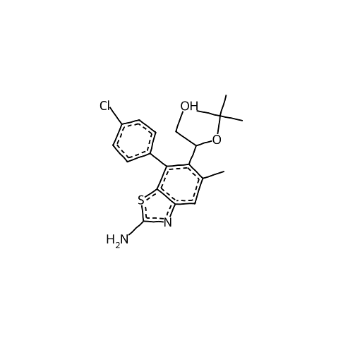 Cc1cc2nc(N)sc2c(-c2ccc(Cl)cc2)c1C(CO)OC(C)(C)C